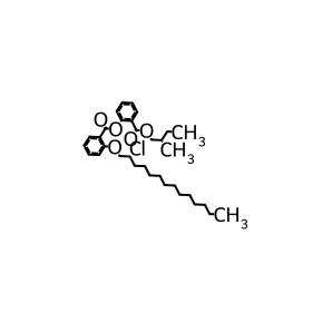 CCCCCCCCCCCCC(Cl)COc1ccccc1C(=O)Oc1ccccc1C(=O)OC[C@@H](C)CC